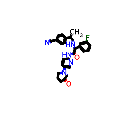 CC(CNC(C(=O)Nc1ccc(N2CCCC(=O)C2)cn1)c1cccc(F)c1)c1ccc(C#N)cc1